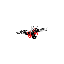 CCCCC(C)CC(=O)Oc1c(OC)c(OC)c(OC(=O)CC(C)CCCC)c2ccccc12